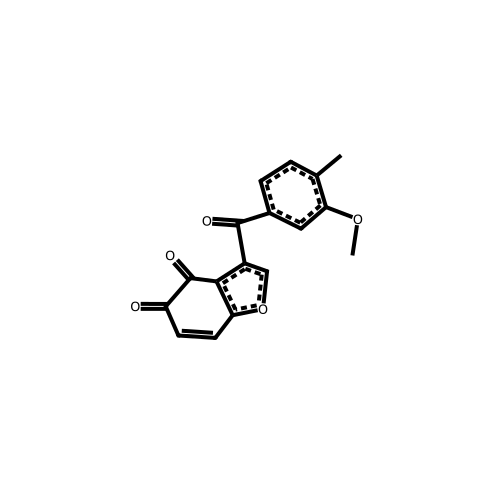 COc1cc(C(=O)c2coc3c2C(=O)C(=O)C=C3)ccc1C